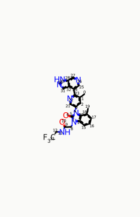 Cc1cc(-n2c(=O)n(CC(=O)NCC(F)(F)F)c3cccc(C)c32)cnc1-c1cncc2[nH]ncc12